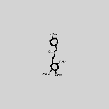 COc1ccc(C[S+]([O-])C=Cc2cc(OC)c(OC)cc2OC)cc1